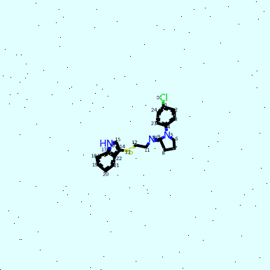 Clc1ccc(N2CCCC2=NCCSc2c[nH]c3ccccc23)cc1